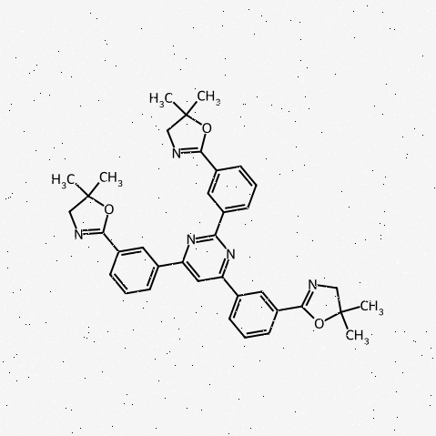 CC1(C)CN=C(c2cccc(-c3cc(-c4cccc(C5=NCC(C)(C)O5)c4)nc(-c4cccc(C5=NCC(C)(C)O5)c4)n3)c2)O1